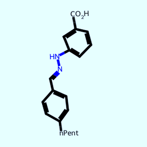 CCCCCc1ccc(/C=N/Nc2cccc(C(=O)O)c2)cc1